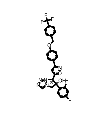 C[C@@H](c1cc(-c2ccc(OCc3ccc(C(F)(F)F)cc3)cc2)no1)[C@](O)(Cn1cnnn1)c1ccc(F)cc1F